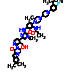 C=CC(=O)Nc1cc(Nc2nc(-c3ccnc(N4CCn5c(cc6c5CC(C)(C)C6)C4=O)c3CO)cn(C)c2=O)ccc1N1CCN(C2CCN(c3ccc(F)c(C(C)C)c3)CC2)C[C@@H]1C